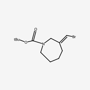 CC(C)(C)OC(=O)N1CCCCC(=CBr)C1